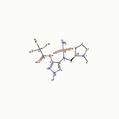 CN1CCC[C@@H]1CN(c1cn(C)nc1OC(=O)C(F)(F)F)S(N)(=O)=O